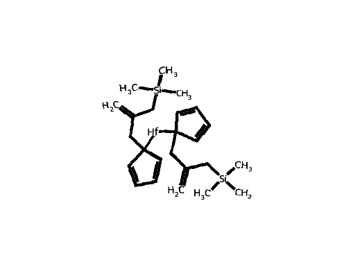 C=C(C[C]1([Hf][C]2(CC(=C)C[Si](C)(C)C)C=CC=C2)C=CC=C1)C[Si](C)(C)C